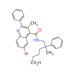 Cc1c(-c2ccccc2)nc2ccc(Br)cc2c1C(=O)NCC(C)(CCCC(=O)O)c1ccccc1